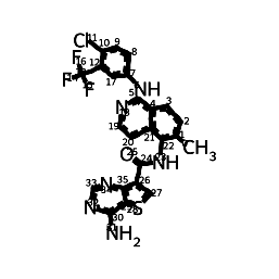 Cc1ccc2c(Nc3ccc(Cl)c(C(F)(F)F)c3)nccc2c1NC(=O)c1csc2c(N)ncnc12